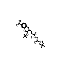 CC(C)(C)CNC(=O)ONC(=O)CCC(Cc1ccc(C(=O)O)cc1)C(=O)OC(C)(C)C